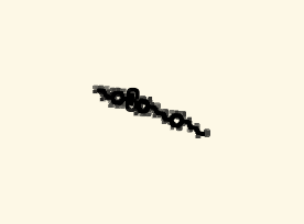 CCCCCC1CCC(C=CCCc2ccc(OC(=O)C3CCC(CCC)CC3)cc2)CC1